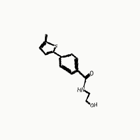 Cc1ccc(-c2ccc(C(=O)NCCO)cc2)s1